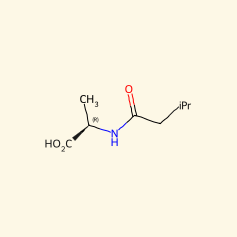 CC(C)CC(=O)N[C@H](C)C(=O)O